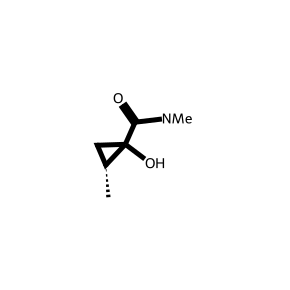 CNC(=O)C1(O)C[C@H]1C